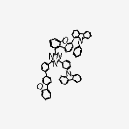 c1ccc(-n2c3ccccc3c3cccc(-c4cccc5c4oc4cccc(-c6nc(-c7cccc(-c8ccc9c(c8)oc8ccccc89)c7)nc(-c7cccc(-n8c9ccccc9c9ccccc98)c7)n6)c45)c32)cc1